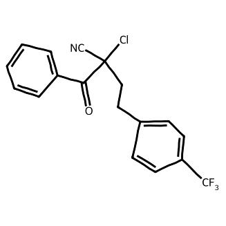 N#CC(Cl)(CCc1ccc(C(F)(F)F)cc1)C(=O)c1ccccc1